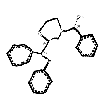 C[C@H](c1ccccc1)N1CCO[C@H]([C@@H](Sc2ccccc2)c2ccccc2)C1